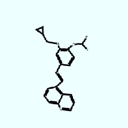 FC(F)Oc1ccc(C=Cc2cccc3ncccc23)cc1OCC1CC1